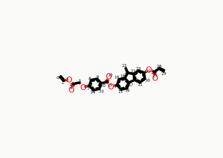 C=COC(=O)COc1ccc(C(=O)Oc2ccc3c(c2)C(C)c2cc(OC(=O)C=C)ccc2-3)cc1